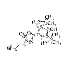 CC(C)(C)c1cc(-c2nn(CCCBr)c(=O)o2)cc(C(C)(C)C)c1O